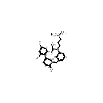 CN(C)CCCN(C(=O)O)c1cccc(Cn2nc(-c3ccc(F)cc3F)ccc2=O)c1